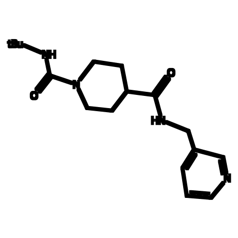 CC(C)(C)NC(=O)N1CCC(C(=O)NCc2cccnc2)CC1